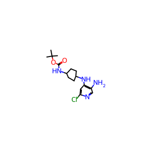 CC(C)(C)OC(=O)NC1CCC(Nc2cc(Cl)ncc2N)CC1